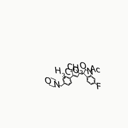 CC(=O)N1C(=O)C(C2C=C(c3ccc(CN4CCOCC4)cc3)C(C)(C)O2)c2ccc(F)cc21